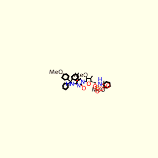 COC(=O)[C@H](C)NP(=O)(OC[C@H]1O[C@@H](n2ccc(NC(c3ccccc3)(c3ccccc3)c3ccc(OC)cc3)nc2=O)[C@@H](OC)C1C)Oc1ccccc1